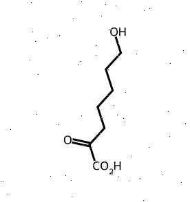 O=C(O)C(=O)CCCCCO